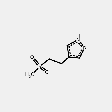 CS(=O)(=O)CCc1cn[nH]c1